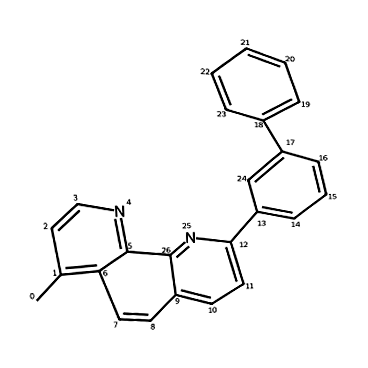 Cc1ccnc2c1ccc1ccc(-c3cccc(-c4ccccc4)c3)nc12